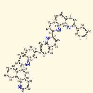 c1ccc(-c2ccc3ccc4ccc(-c5ccc6ccc(-c7ccc8ccc(-c9cc%10cccnc%10c%10ccccc9%10)nc8c7)cc6n5)nc4c3n2)cc1